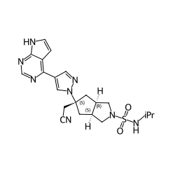 CC(C)NS(=O)(=O)N1C[C@@H]2C[C@@](CC#N)(n3cc(-c4ncnc5[nH]ccc45)cn3)C[C@@H]2C1